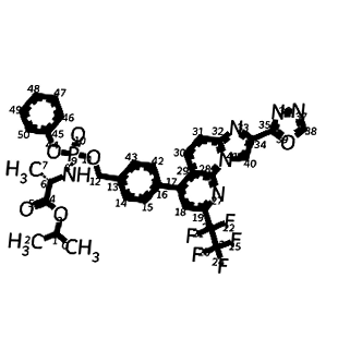 CC(C)OC(=O)[C@H](C)N[P@](=O)(OCc1ccc(-c2cc(C(F)(F)C(F)(F)F)nc3c2ccc2nc(-c4nnco4)cn23)cc1)Oc1ccccc1